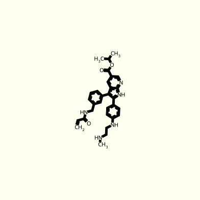 C=CC(=O)NCc1cccc(-c2c(-c3ccc(NCCNC)cc3)[nH]c3ncc(C(=O)OC(C)C)cc23)c1